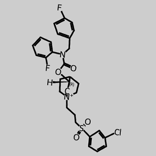 O=C(O[C@H]1C[N+]2(CCCS(=O)(=O)c3cccc(Cl)c3)CCC1CC2)N(Cc1ccc(F)cc1)c1ccccc1F